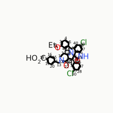 CCOc1cccc(CN2[C@H]3CCN(Cc4ccc(C(=O)O)cc4)C(=O)[C@H]3[C@H](c3cccc(Cl)c3)[C@]23C(=O)Nc2cc(Cl)ccc23)c1